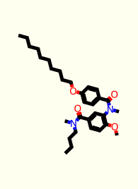 CCCCCCCCCCOc1ccc(C(=O)N(C)c2cc(C(=O)N(C)CCCC)ccc2OC)cc1